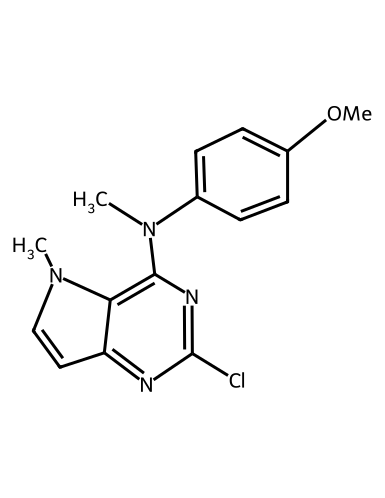 COc1ccc(N(C)c2nc(Cl)nc3ccn(C)c23)cc1